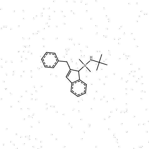 CC(C)(C)N[Si](C)(C)C1C(Cc2ccccc2)=Cc2ccccc21